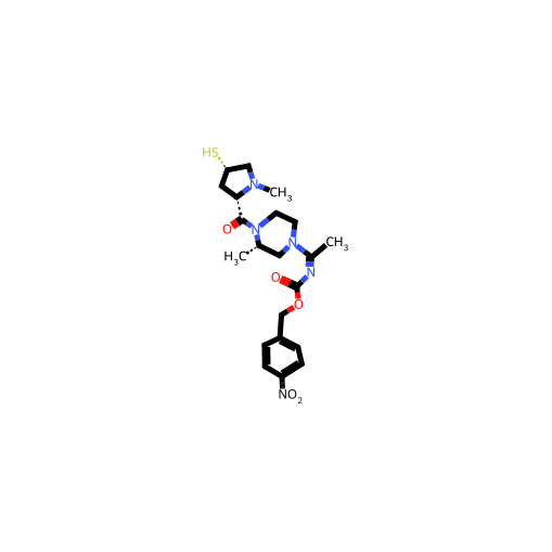 CC(=NC(=O)OCc1ccc([N+](=O)[O-])cc1)N1CCN(C(=O)[C@@H]2C[C@H](S)CN2C)[C@@H](C)C1